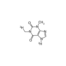 [2H]Cn1c(=O)c2c(ncn2[2H])n(C)c1=O